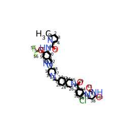 Cc1cccc(C(=O)Nc2cc3cn(C4CCN(CC5CCC6(CC5)CCN(C(=O)c5ccc(Cl)c(N7CCC(=O)NC7=O)c5)CC6)CC4)nc3cc2OC(F)F)n1